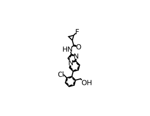 O=C(Nc1cn2cc(-c3c(Cl)cccc3CO)ccc2n1)C1CC1F